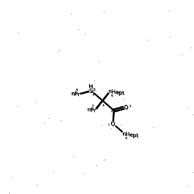 CCCCCCCOC(=O)C(CCC)(CCCCCCC)[SiH2]CCC